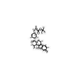 CC(C)C1c2[nH]c3cc(F)ccc3c2CCN1C(=O)[C@H]1CC[C@H](CN(C)C(=O)OC(C)(C)C)CC1